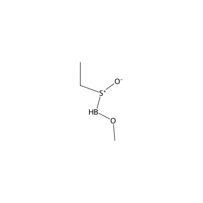 CC[S+]([O-])BOC